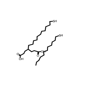 CCCCCCCCCCCCS.O=C(O)CCC(CCCCCCCCCCCS)CCC(=O)O